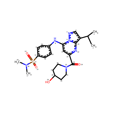 CC(C)c1cnn2c(Nc3ccc(S(=O)(=O)N(C)C)cc3)cc(C(=O)N3CCC(O)CC3)nc12